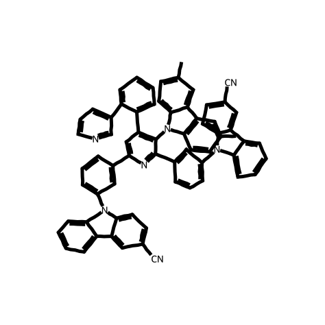 Cc1ccc2c(c1)c1cc(C)ccc1n2-c1c(-c2ccccc2-c2cccnc2)cc(-c2cccc(-n3c4ccccc4c4cc(C#N)ccc43)c2)nc1-c1cccc(-n2c3ccccc3c3cc(C#N)ccc32)c1